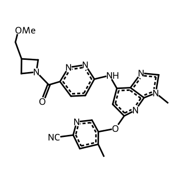 COCC1CN(C(=O)c2ccc(Nc3cc(Oc4cnc(C#N)cc4C)nc4c3ncn4C)nn2)C1